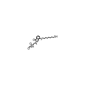 CC(CCC(=O)NC=O)N1Cc2c(SCCCCCCCCS)cccc2C1=O